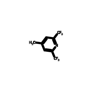 Cc1cc(C(F)(F)F)nc(C(F)(F)F)c1